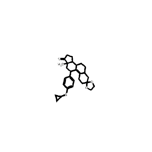 CC12CC(c3ccc(SC4CC4)cc3)C3=C4CCC5(CC4CCC3C1CCC2=O)OCCO5